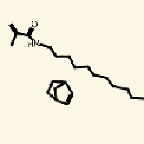 C1=CC2CCC1C2.C=C(C)C(=O)NCCCCCCCCCCCC